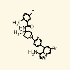 Cc1ccc(F)cc1C(=O)NC1(C)CCN(c2ccc(-c3cc(Br)cn4ncc(N)c34)cn2)CC1